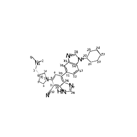 CN(C)C[C@H]1CCN(c2cc(-c3ccc4c(c3)ncn4C3CCCCC3)c3nc[nH]c3c2C#N)C1